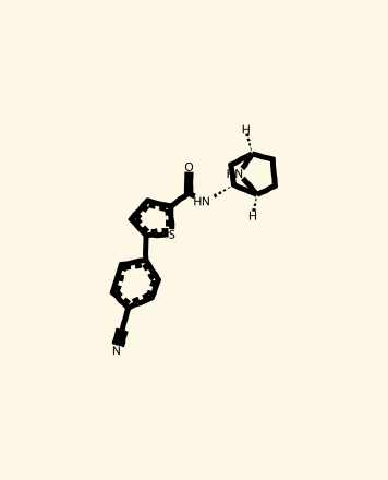 N#Cc1ccc(-c2ccc(C(=O)N[C@@H]3C[C@H]4CC[C@@H]3N4)s2)cc1